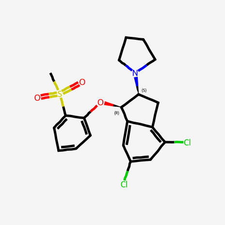 CS(=O)(=O)c1ccccc1O[C@@H]1c2cc(Cl)cc(Cl)c2C[C@@H]1N1CCCC1